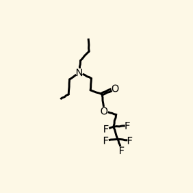 CCCN(CCC)CCC(=O)OCC(F)(F)C(F)(F)F